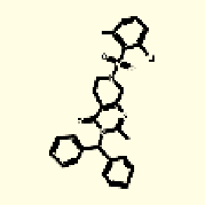 Cc1cccc(Cl)c1S(=O)(=O)N1CCc2c(nc(C)n(C(c3ccccc3)c3ccccc3)c2=O)C1